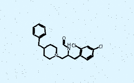 O=CNC(Cc1ccc(Cl)cc1Cl)CN1CCC(Cc2ccccc2)CC1